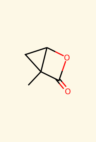 CC12CC1OC2=O